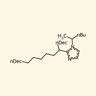 CCCCCCCCCCCCCCCC(CCCCCCCCCC)c1nccn1C(C)CCCC